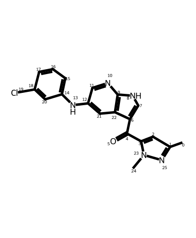 Cc1cc(C(=O)c2c[nH]c3ncc(Nc4cccc(Cl)c4)cc23)n(C)n1